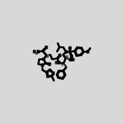 COc1ccc(S(=O)(=O)N(CC(C)C)C[C@H](O)[C@H](Cc2ccccc2)NC(=O)CC[C@@H](C(N)=O)N2CCN(Cc3csc(C)n3)C2=O)cc1